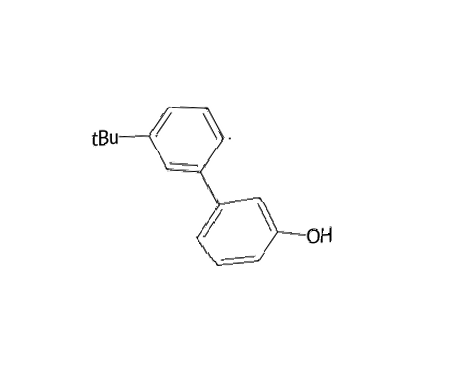 CC(C)(C)c1cc[c]c(-c2cccc(O)c2)c1